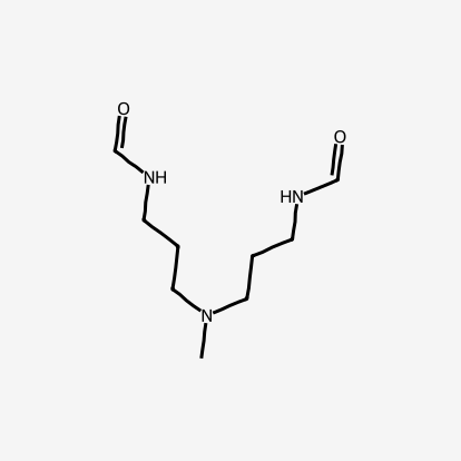 CN(CCCNC=O)CCCNC=O